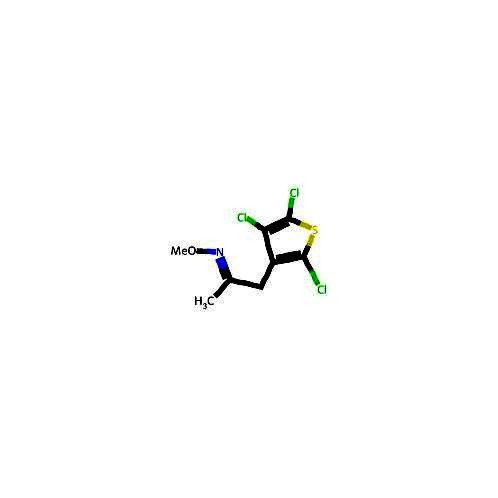 CON=C(C)Cc1c(Cl)sc(Cl)c1Cl